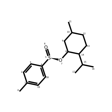 Cc1ccc([S@@](=O)OC2CC(C)CCC2C(C)C)cc1